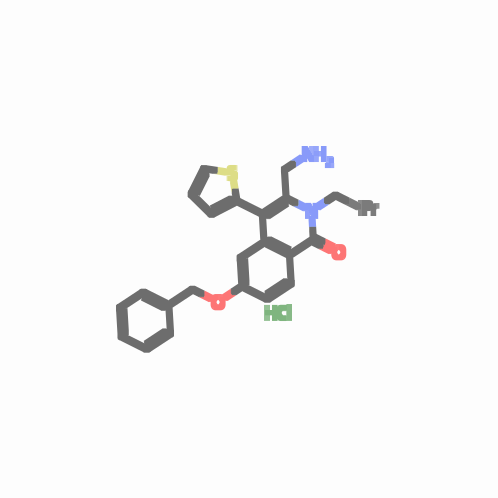 CC(C)Cn1c(CN)c(-c2cccs2)c2cc(OCc3ccccc3)ccc2c1=O.Cl